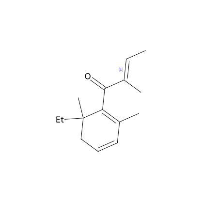 C/C=C(\C)C(=O)C1=C(C)C=CCC1(C)CC